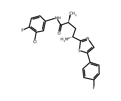 C[C@@H](C[C@@H](N)c1ncc(-c2ccc(F)cc2)s1)C(=O)Nc1ccc(F)c(Cl)c1